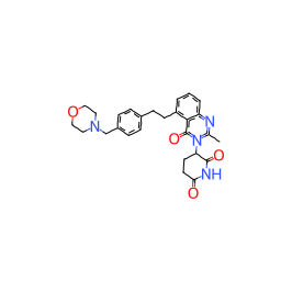 Cc1nc2cccc(CCc3ccc(CN4CCOCC4)cc3)c2c(=O)n1C1CCC(=O)NC1=O